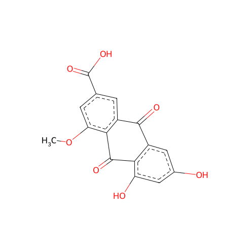 COc1cc(C(=O)O)cc2c1C(=O)c1c(O)cc(O)cc1C2=O